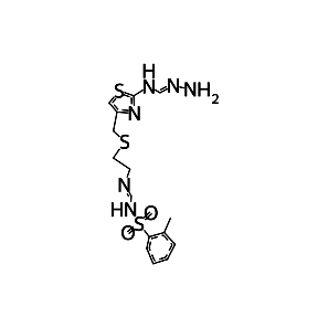 Cc1ccccc1S(=O)(=O)NC=NCCSCc1csc(NC=NN)n1